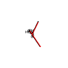 CCCCCCCCCCCCCCCCCC(=O)OC[C@H](COCCP(=O)(O)O)OC(=O)CCCCCCCCCCCCCCCCC